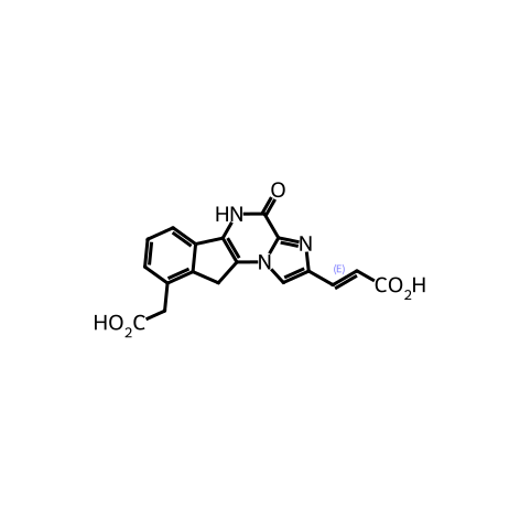 O=C(O)/C=C/c1cn2c3c([nH]c(=O)c2n1)-c1cccc(CC(=O)O)c1C3